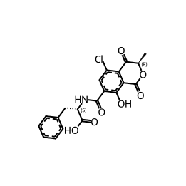 C[C@H]1OC(=O)c2c(O)c(C(=O)N[C@@H](Cc3ccccc3)C(=O)O)cc(Cl)c2C1=O